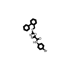 O=C(Nc1ccc(Br)cc1)c1nnc(SCc2ccccc2-c2ccccc2)o1